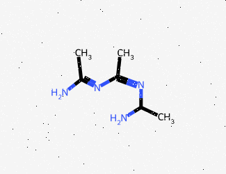 CC(=N/C(C)N)/N=C(\C)N